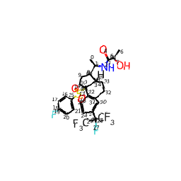 CC(NC(=O)[C@@H](C)O)[C@@H]1CC[C@@]2(S(=O)(=O)c3ccc(F)cc3)c3ccc(C(F)(C(F)(F)F)C(F)(F)F)cc3CC[C@@H]12